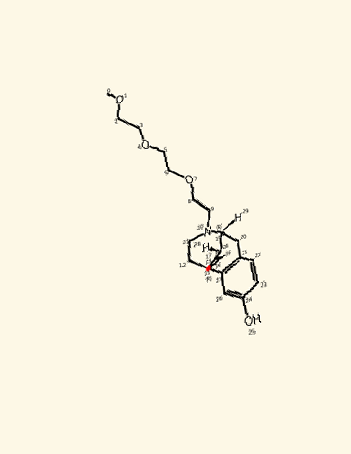 COCCOCCOCCN1CC[C@]23CCCC[C@H]2[C@H]1Cc1ccc(O)cc13